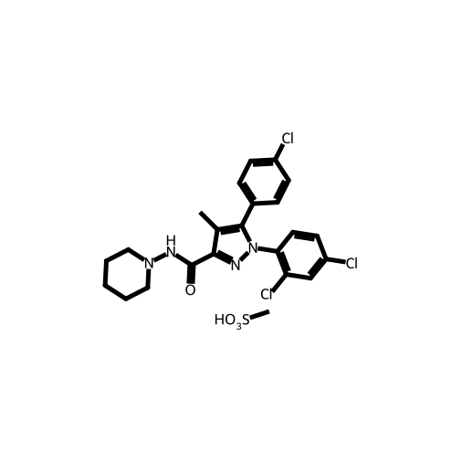 CS(=O)(=O)O.Cc1c(C(=O)NN2CCCCC2)nn(-c2ccc(Cl)cc2Cl)c1-c1ccc(Cl)cc1